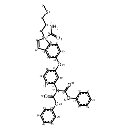 CSCCC[N+]1(C(N)=O)C=Cc2cc(Oc3ccnc(N(C(=O)Oc4ccccc4)C(=O)Oc4ccccc4)c3)ccc21